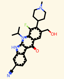 CC(C)n1c2[nH]c3cc(C#N)ccc3c2c(=O)c2cc(CO)c(C3CCN(C)CC3)c(F)c21